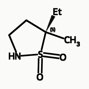 CC[C@@]1(C)CCNS1(=O)=O